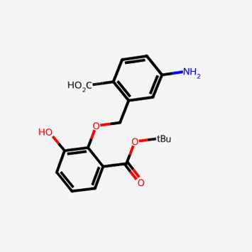 CC(C)(C)OC(=O)c1cccc(O)c1OCc1cc(N)ccc1C(=O)O